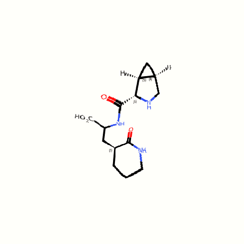 O=C(O)C(C[C@@H]1CCCNC1=O)NC(=O)[C@H]1NC[C@@H]2C[C@@H]21